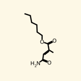 CCCCCCOC(=O)C(C)=CC(N)=O